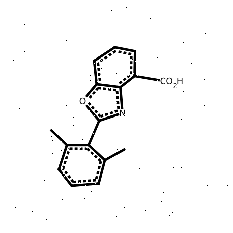 Cc1cccc(C)c1-c1nc2c(C(=O)O)cccc2o1